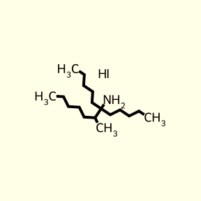 CCCCCC(C)C(N)(CCCCC)CCCCC.I